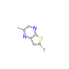 Cc1cnc2sc(I)cc2n1